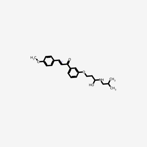 COc1ccc(/C=C/C(=O)c2cccc(OCCC(O)NCC(C)C)c2)cc1